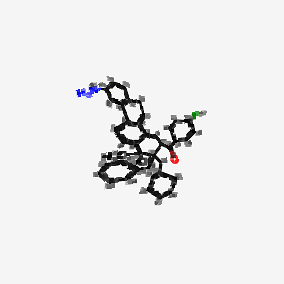 CC1(C)c2ccc3c(c2=CC(C(=O)c2ccc(F)cc2)C1(Cc1ccccc1)Cc1ccccc1)=CCc1ccc(N)cc1-3